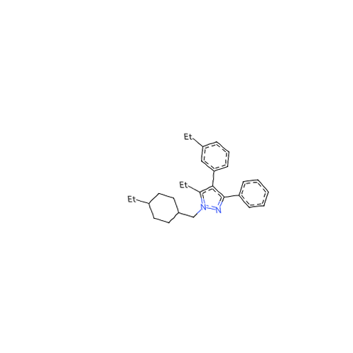 CCc1cccc(-c2c(-c3ccccc3)nn(CC3CCC(CC)CC3)c2CC)c1